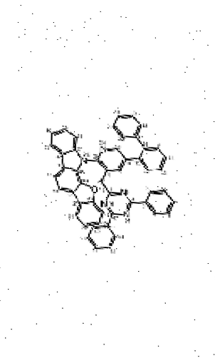 c1ccc(-c2nc(Cc3cc(-c4ccccc4-c4ccccc4)cnc3-n3c4ccccc4c4ccc5c6ccccc6oc5c43)nc(-c3ccccc3)n2)cc1